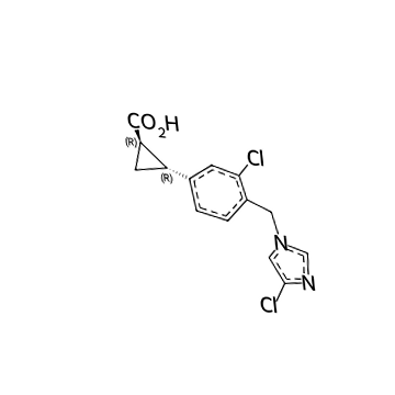 O=C(O)[C@@H]1C[C@H]1c1ccc(Cn2cnc(Cl)c2)c(Cl)c1